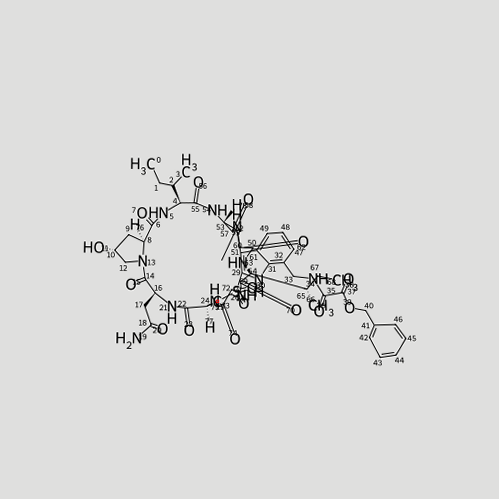 CCC(C)[C@@H]1NC(=O)[C@@H]2C[C@@H](O)CN2C(=O)[C@H](CC(N)=O)NC(=O)[C@@H]2CS(=O)(=O)c3[nH]c4c(CNC(=O)C(=O)OCc5ccccc5)cccc4c3C[C@@H](NC1=O)C(=O)NCC(=O)N[C@@H]([C@@H](C)CC)C(=O)NCC(=O)N2